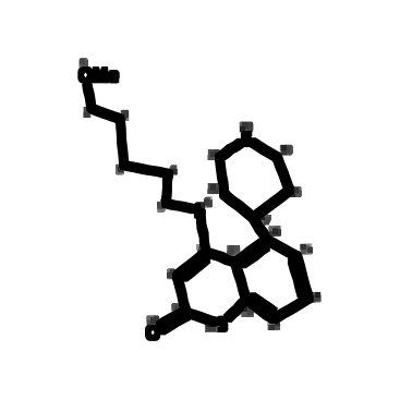 COCCCCCSc1cc(=O)sc2cccc(C3CCSCC3)c12